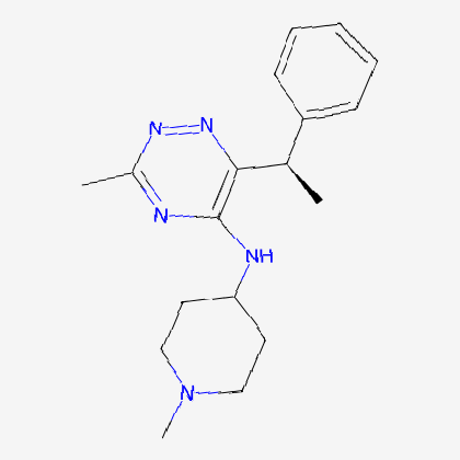 Cc1nnc([C@H](C)c2ccccc2)c(NC2CCN(C)CC2)n1